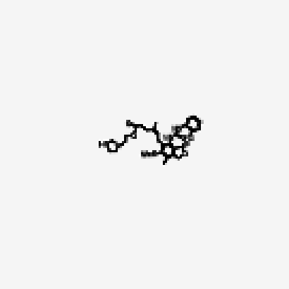 COc1c(C)c2c(c(NC(=O)Nc3ccccc3Cl)c1CC=C(C)CCC(=O)OCCN1CCNC1)C(=O)OC2